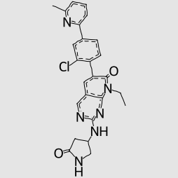 CCn1c(=O)c(-c2ccc(-c3cccc(C)n3)cc2Cl)cc2cnc(NC3CNC(=O)C3)nc21